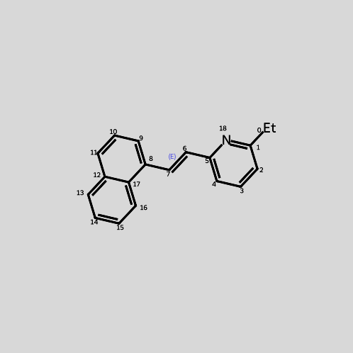 CCc1cccc(/C=C/c2cccc3ccccc23)n1